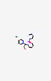 Nc1ccc(C(=O)N[C@]2(c3ccc(OC(F)(F)F)c(F)c3)CCOc3cccnc32)nc1